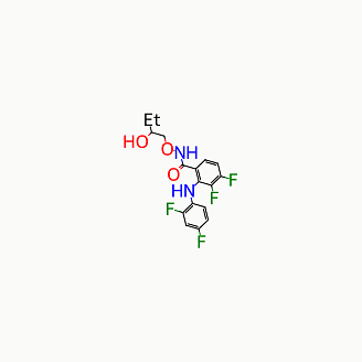 CCC(O)CONC(=O)c1ccc(F)c(F)c1Nc1ccc(F)cc1F